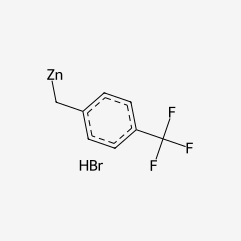 Br.FC(F)(F)c1ccc([CH2][Zn])cc1